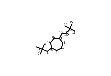 CC(C)(C)CC1CCCC(CSC(C)(C)C)CC1